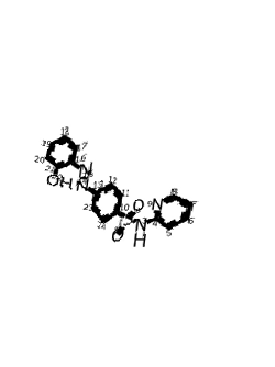 O=S(=O)(Nc1ccccn1)c1ccc(N=Nc2ccccc2O)cc1